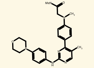 CNC(=O)CN(C)c1ccc(-c2nc(Nc3ccc(N4CCOCC4)cc3)ncc2C)cc1